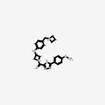 COc1ccc(-c2nnc(C(=O)N3CC(Oc4ccc(CN5CCC5)cc4)C3)o2)cc1